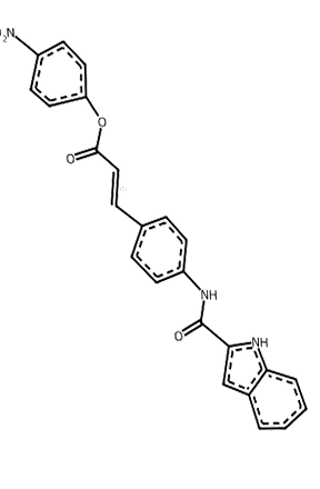 O=C(/C=C/c1ccc(NC(=O)c2cc3ccccc3[nH]2)cc1)Oc1ccc([N+](=O)[O-])cc1